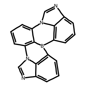 c1cc2c3c(c1)-n1cnc4cccc(c41)B3c1cccc3ncn-2c13